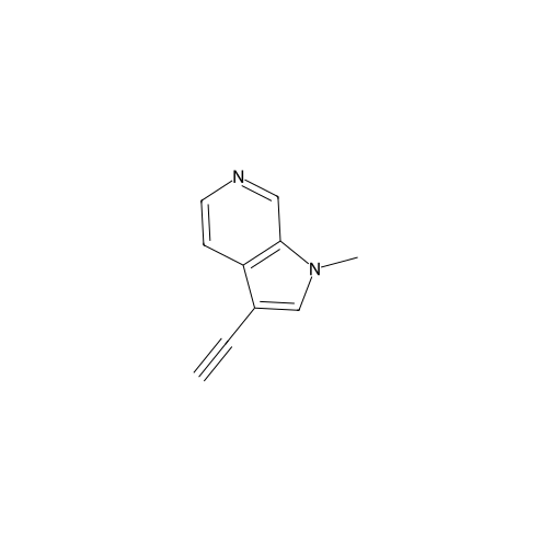 C#Cc1cn(C)c2cnccc12